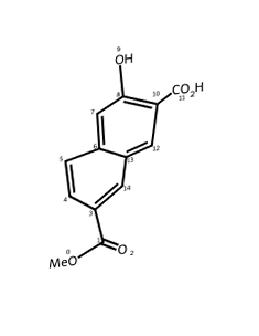 COC(=O)c1ccc2cc(O)c(C(=O)O)cc2c1